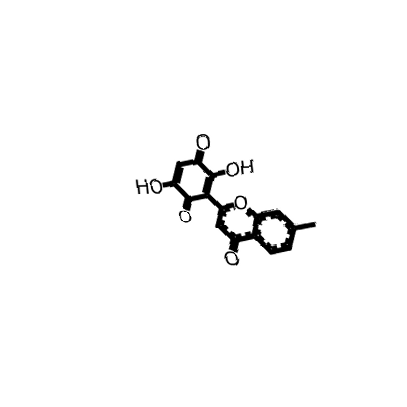 Cc1ccc2c(=O)cc(C3=C(O)C(=O)C=C(O)C3=O)oc2c1